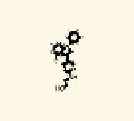 OCCNc1ncc(-c2cn(-c3ccccc3)c3ncnc(Cl)c23)cn1